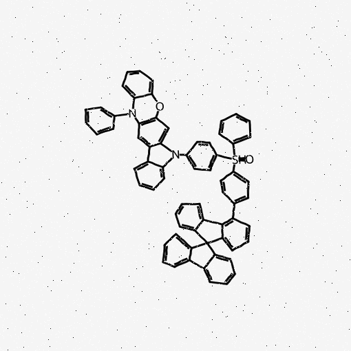 O=[SH](c1ccccc1)(c1ccc(-c2cccc3c2-c2ccccc2C32c3ccccc3-c3ccccc32)cc1)c1ccc(-n2c3ccccc3c3cc4c(cc32)Oc2ccccc2N4c2ccccc2)cc1